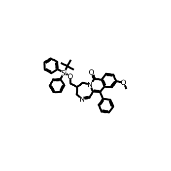 COc1ccc2c(=O)n3c(c(-c4ccccc4)c2c1)C=NCC(CO[Si](c1ccccc1)(c1ccccc1)C(C)(C)C)C3